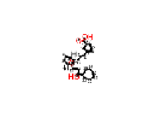 O=C(O)c1cccc(C=CC[C@@H]2[C@@H](C=CC(O)C3CCCCCC3)[C@@H]3CC[C@H]2O3)c1